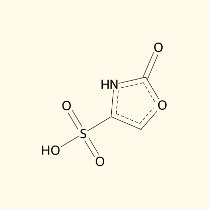 O=c1[nH]c(S(=O)(=O)O)co1